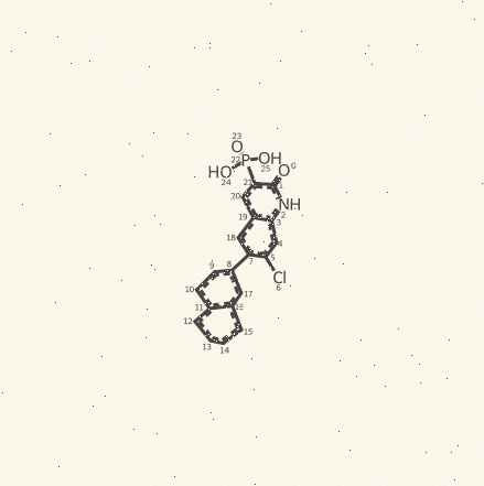 O=c1[nH]c2cc(Cl)c(-c3ccc4ccccc4c3)cc2cc1P(=O)(O)O